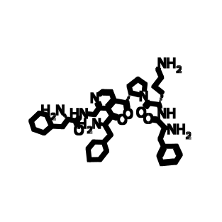 NCCCC[C@H](NC(=O)[C@@H](N)Cc1ccccc1)C(=O)N1CCC[C@H]1C(=O)c1ccnc(CNC(=O)[C@@H](N)CC2CCCCC2)c1C(=O)[C@H](N)CC1CCCCC1